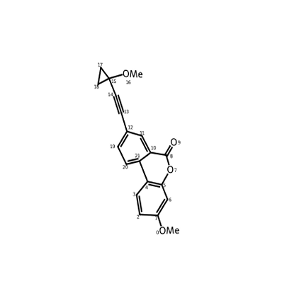 COc1ccc2c(c1)oc(=O)c1cc(C#CC3(OC)CC3)ccc12